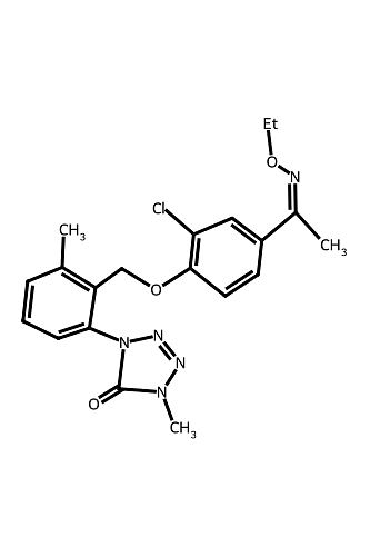 CCO/N=C(/C)c1ccc(OCc2c(C)cccc2-n2nnn(C)c2=O)c(Cl)c1